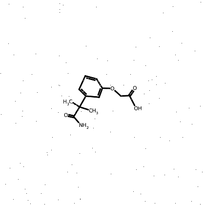 CC(C)(C(N)=O)c1cccc(OCC(=O)O)c1